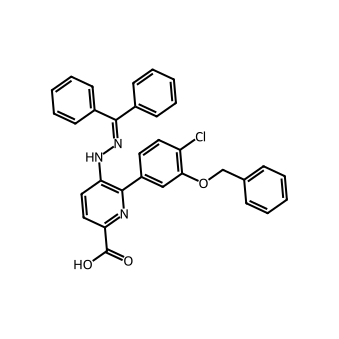 O=C(O)c1ccc(NN=C(c2ccccc2)c2ccccc2)c(-c2ccc(Cl)c(OCc3ccccc3)c2)n1